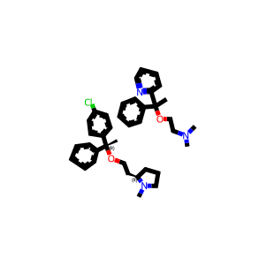 CN(C)CCOC(C)(c1ccccc1)c1ccccn1.CN1CCC[C@@H]1CCO[C@](C)(c1ccccc1)c1ccc(Cl)cc1